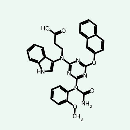 COc1ccccc1N(C(N)=O)c1nc(Oc2ccc3ccccc3c2)nc(N(CCC(=O)O)c2c[nH]c3ccccc23)n1